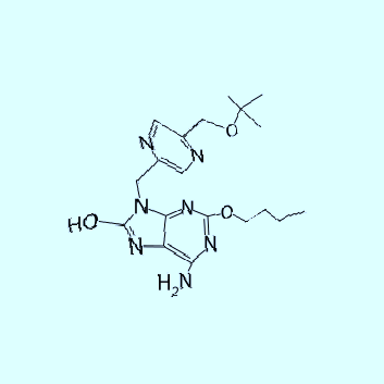 CCCCOc1nc(N)c2nc(O)n(Cc3cnc(COC(C)(C)C)cn3)c2n1